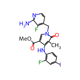 COC(=O)c1cn(Cc2ccnc(N)c2F)c(=O)c(C)c1Nc1ccc(I)cc1F